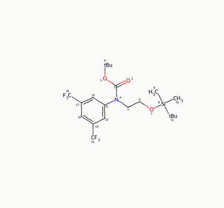 CC(C)(C)OC(=O)N(CCO[Si](C)(C)C(C)(C)C)c1cc(C(F)(F)F)cc(C(F)(F)F)c1